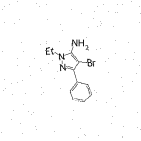 CCn1nc(-c2ccccc2)c(Br)c1N